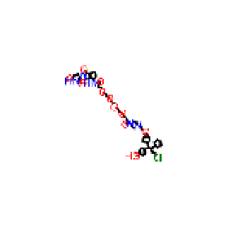 O=C1CCC(N2Cc3c(NC(=O)CCOCCOCCOCCOCCC(=O)N4CCN(CCOc5ccc(C(=C(CCCl)c6ccccc6)c6ccc(O)cc6)cc5)CC4)cccc3C2=O)C(=O)N1